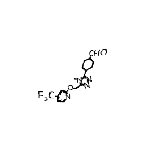 Cn1c(COc2cc(C(F)(F)F)ccn2)nnc1C1CCC(C=O)CC1